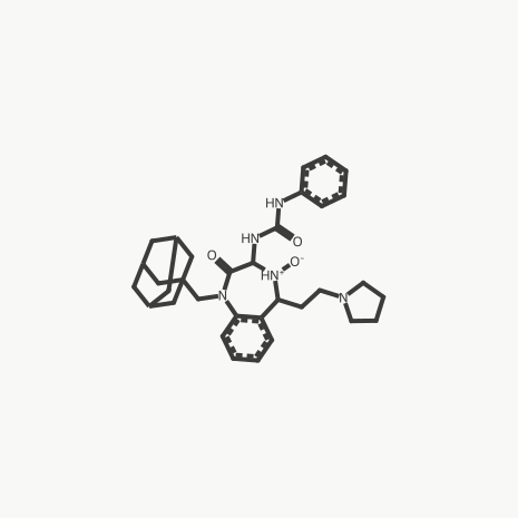 O=C(Nc1ccccc1)NC1C(=O)N(CC23CC4CC(CC(C4)C2)C3)c2ccccc2C(CCN2CCCC2)[NH+]1[O-]